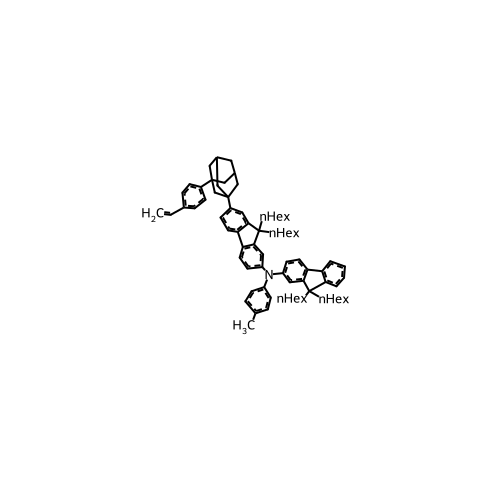 C=Cc1ccc(C23CC4CC(C2)CC(c2ccc5c(c2)C(CCCCCC)(CCCCCC)c2cc(N(c6ccc(C)cc6)c6ccc7c(c6)C(CCCCCC)(CCCCCC)c6ccccc6-7)ccc2-5)(C4)C3)cc1